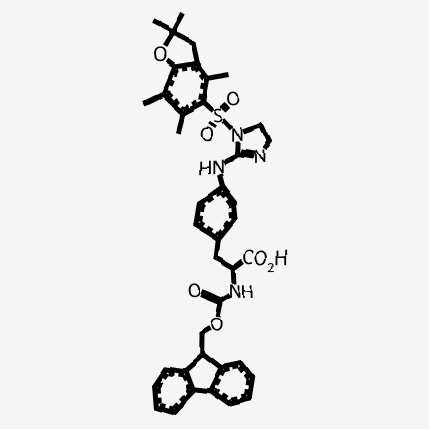 Cc1c(C)c(S(=O)(=O)N2CCN=C2Nc2ccc(CC(NC(=O)OCC3c4ccccc4-c4ccccc43)C(=O)O)cc2)c(C)c2c1OC(C)(C)C2